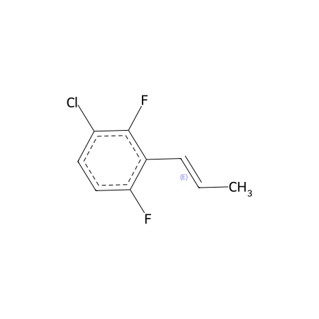 C/C=C/c1c(F)ccc(Cl)c1F